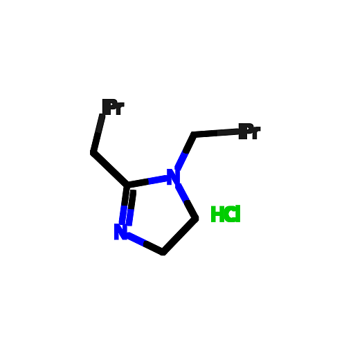 CC(C)CC1=NCCN1CC(C)C.Cl